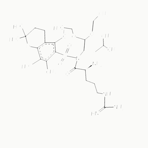 CCOC(OCC)[C@H](CC(C)C)N(C(=O)[C@@H](N)CCCNC(=N)N)S(=O)(=O)c1c(C)c(C)c2c(c1C)CCC(C)(C)O2